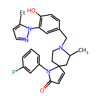 CCc1ccnn1-c1cc(CN2CCC3(C=CC(=O)N3c3cccc(F)c3)CC2C)ccc1O